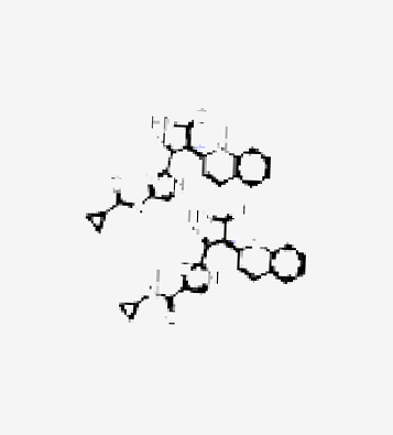 O=C1NN=C(c2ncc(C(=O)NC3CC3)s2)/C1=C1\C=Cc2ccccc2N1.O=C1NN=C(c2ncc(NC(=O)C3CC3)s2)/C1=C1\C=Cc2ccccc2N1